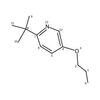 CCCOc1ccc(C(C)(C)C)nc1